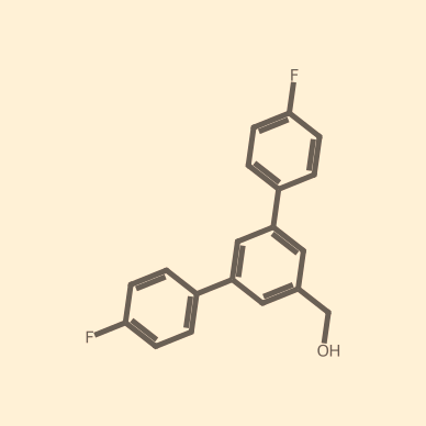 OCc1cc(-c2ccc(F)cc2)cc(-c2ccc(F)cc2)c1